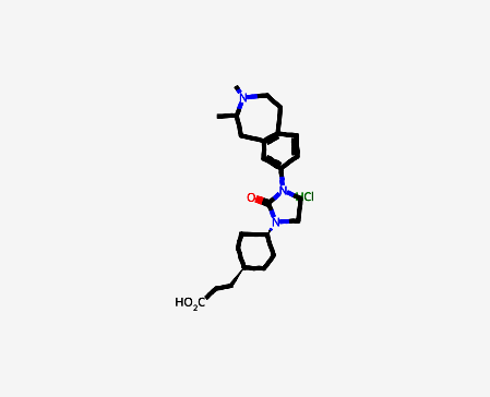 CC1Cc2cc(N3CCN([C@H]4CC[C@H](CCC(=O)O)CC4)C3=O)ccc2CCN1C.Cl